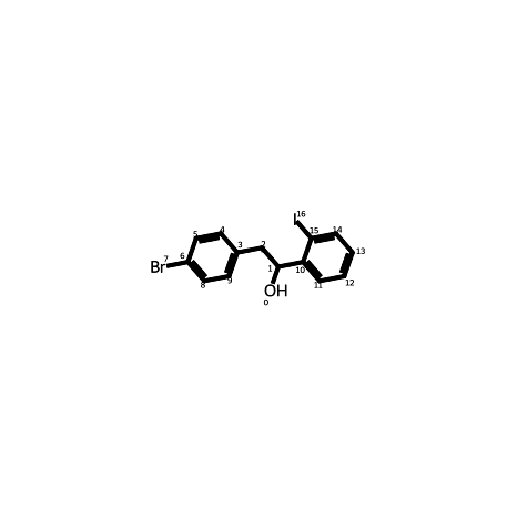 OC([CH]c1ccc(Br)cc1)c1ccccc1I